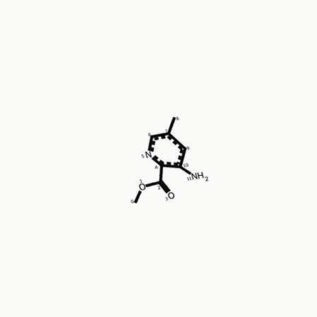 COC(=O)c1ncc(C)cc1N